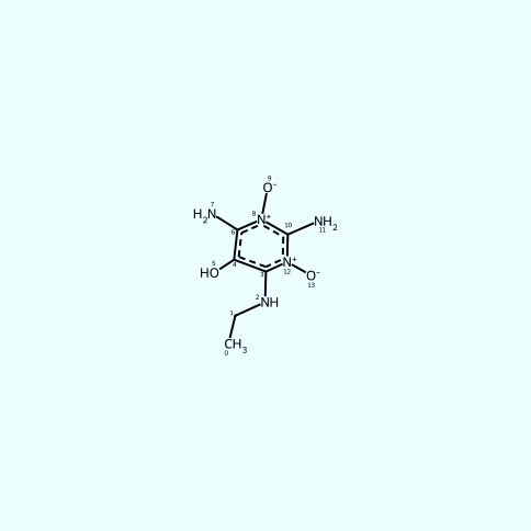 CCNc1c(O)c(N)[n+]([O-])c(N)[n+]1[O-]